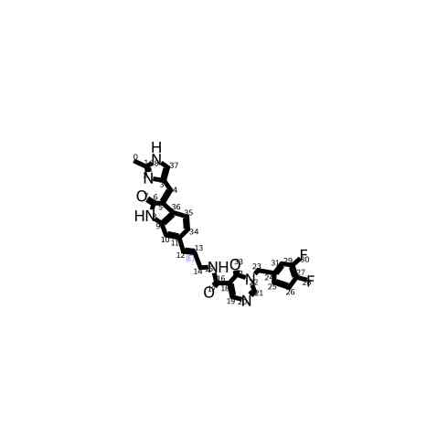 Cc1nc(C=C2C(=O)Nc3cc(/C=C/CNC(=O)c4cncn(Cc5ccc(F)c(F)c5)c4=O)ccc32)c[nH]1